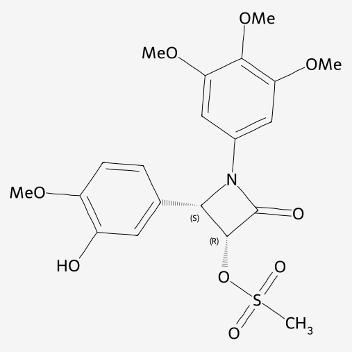 COc1ccc([C@H]2[C@@H](OS(C)(=O)=O)C(=O)N2c2cc(OC)c(OC)c(OC)c2)cc1O